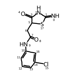 N=C1NC(=O)C(CC(=O)Nc2cccc(Cl)c2)S1